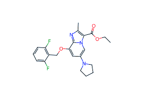 CCOC(=O)c1c(C)nc2c(OCc3c(F)cccc3F)cc(N3CCCC3)cn12